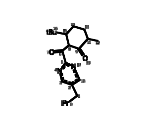 CC(C)Cc1cnc(C(=O)C2C(=O)C(C)CCC2C(C)(C)C)nc1